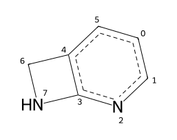 c1cnc2c(c1)CN2